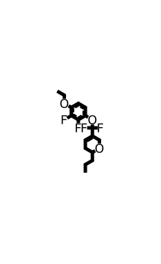 CCCC1CC=C(C(F)(F)Oc2ccc(OCC)c(F)c2F)CO1